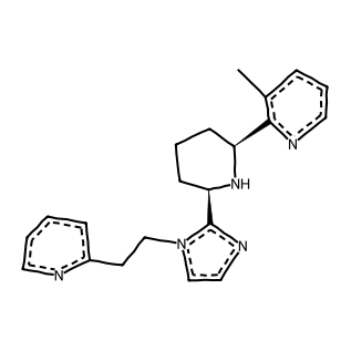 Cc1cccnc1[C@@H]1CCC[C@H](c2nccn2CCc2ccccn2)N1